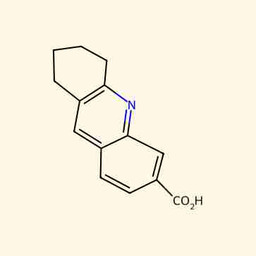 O=C(O)c1ccc2cc3c(nc2c1)CCCC3